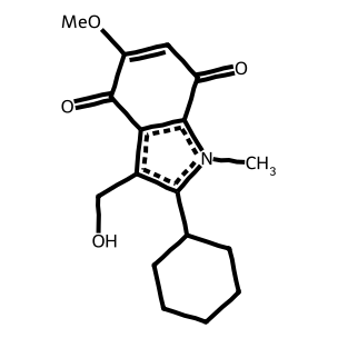 COC1=CC(=O)c2c(c(CO)c(C3CCCCC3)n2C)C1=O